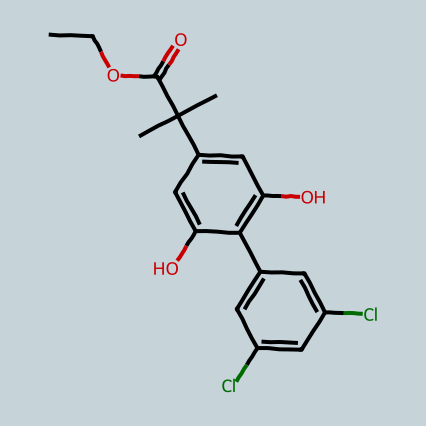 CCOC(=O)C(C)(C)c1cc(O)c(-c2cc(Cl)cc(Cl)c2)c(O)c1